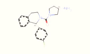 N[C@H]1CCN(C(=O)N2CCc3ccccc3[C@H]2c2ccc(F)cc2)C1